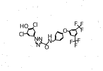 O=C(NCc1ccc(Oc2cc(C(F)(F)F)cc(C(F)(F)F)c2)cc1)c1ncn(-c2cc(Cl)c(O)c(Cl)c2)n1